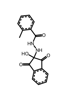 Cc1ccccc1C(=O)NNC1(O)C(=O)c2ccccc2C1=O